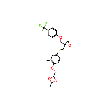 Cc1cc(SCC2(COc3ccc(C(F)(F)F)cc3)CO2)ccc1OCC1OC(C)O1